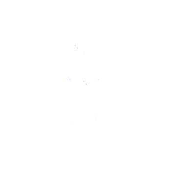 CC(=O)N(c1ccc(S(C)(=O)=O)c(F)c1)c1cc(N)ccn1